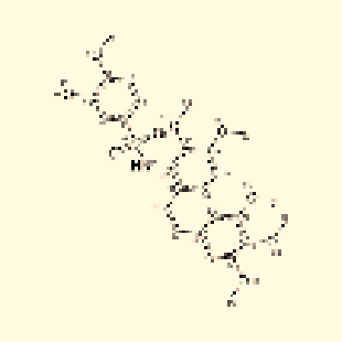 COc1ccc(S(=O)(=O)Nc2c(/C=C\c3cc(OC)c(OC)c(OC)c3)ccc(OC)c2OC)cc1O